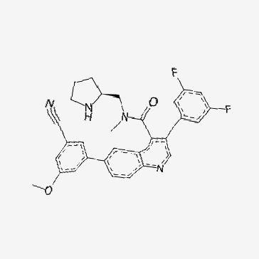 COc1cc(C#N)cc(-c2ccc3ncc(-c4cc(F)cc(F)c4)c(C(=O)N(C)C[C@@H]4CCCN4)c3c2)c1